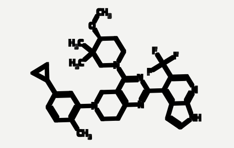 CO[C@H]1CCN(c2nc(-c3c(C(F)(F)F)cnc4[nH]ccc34)nc3c2CN(c2cc(C4CC4)ccc2C)CC3)CC1(C)C